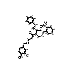 O=C(CCOCc1ccc(Cl)c(Cl)c1)N1CCN(c2ccccc2[N+](=O)[O-])CC1NCc1ccccc1